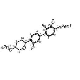 CCCCCc1ccc(-c2ccc(C3CCC(OCCC)CO3)c(F)c2)c(F)c1F